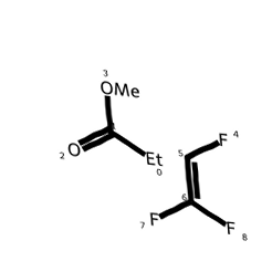 CCC(=O)OC.FC=C(F)F